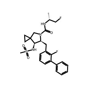 C[C@H](CF)NC(=O)N1CC2(CC2)[C@H](NS(C)(=O)=O)[C@@H]1Cc1cccc(-c2ccccc2)c1F